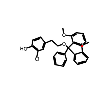 COc1ccccc1C(OCCc1ccc(O)c(Cl)c1)(c1ccccc1)c1ccccc1OC